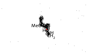 C=CC(=O)Nc1cccc(Oc2nc(Nc3ccc(OCCN4CCOCC4)c(OC)c3)nc3ccsc23)c1